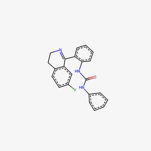 O=C(Nc1ccccc1)Nc1ccccc1C1=NCCc2ccc(F)cc21